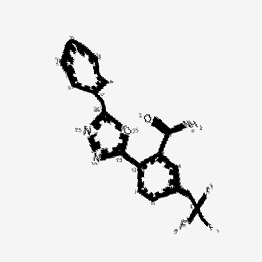 NC(=O)c1cc(C(F)(F)F)ccc1-c1nnc(-c2ccccc2)o1